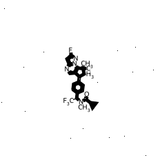 CN(C(=O)C1CC1)[C@@H](c1ccc(C2CC(C)(C)c3c2cnc2cc(F)nn32)cc1)C(F)(F)F